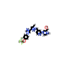 Cc1cc(-c2cn(-c3ccc(OC(F)(F)F)cc3)cn2)nn1Cc1ccnc(N2CCN(C)C(C=O)C2)c1